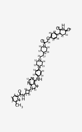 Cc1cccc(C(=O)NC2CC(n3cnc4c(Nc5ccc(N6CCN(CCC7CCN(C(=O)COc8ccc([C@@H]9CCC(=O)NC9=O)cc8)CC7)CC6)cc5)ncnc43)C2)n1